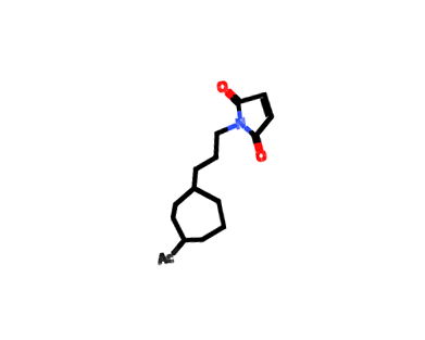 CC(=O)C1CCCC(CCCN2C(=O)C=CC2=O)CC1